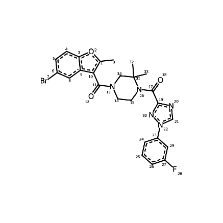 Cc1oc2ccc(Br)cc2c1C(=O)N1CCN(C(=O)c2ncn(-c3cccc(F)c3)n2)C(C)(C)C1